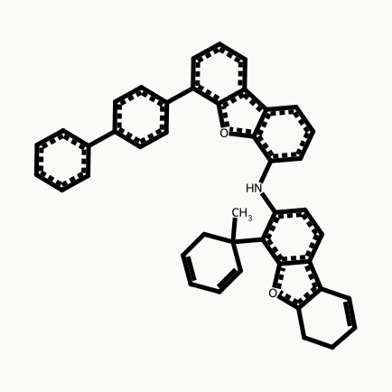 CC1(c2c(Nc3cccc4c3oc3c(-c5ccc(-c6ccccc6)cc5)cccc34)ccc3c4c(oc23)CCC=C4)C=CC=CC1